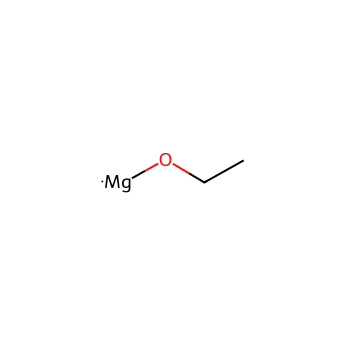 CC[O][Mg]